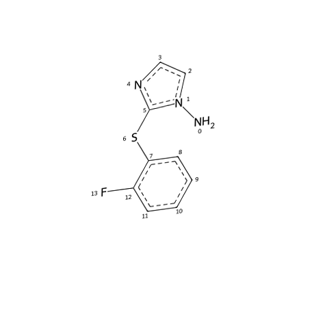 Nn1ccnc1Sc1ccccc1F